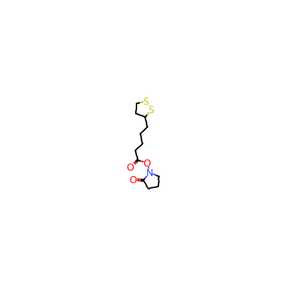 O=C(CCCCC1CCSS1)ON1CCCC1=O